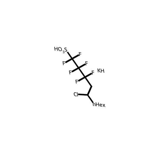 CCCCCCC(Cl)CC(F)(F)C(F)(F)C(F)(F)S(=O)(=O)O.[KH]